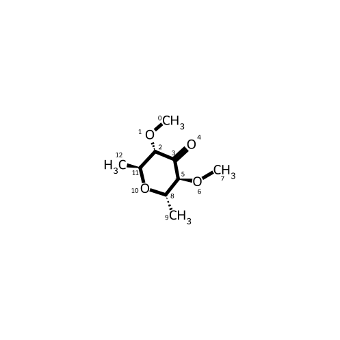 CO[C@@H]1C(=O)[C@@H](OC)[C@H](C)O[C@H]1C